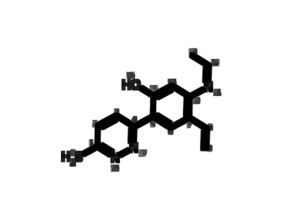 Bc1ccc(-c2cc(C=C)c(/N=C\C)cc2O)nn1